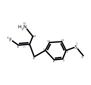 CSc1ccc(C/C(=C/F)CN)cc1